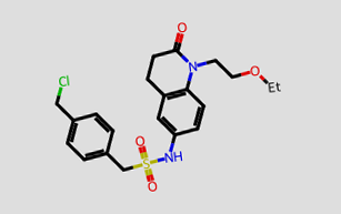 CCOCCN1C(=O)CCc2cc(NS(=O)(=O)Cc3ccc(CCl)cc3)ccc21